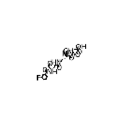 C=N[C@@H](CCCNC(=O)CC[C@@H](C=O)NC(=O)c1cccc(F)c1)C(=O)N[C@H](C=O)CC(=O)O